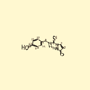 O=c1ccn(C(=S)N[CH]c2ccc(O)cc2)[nH]1